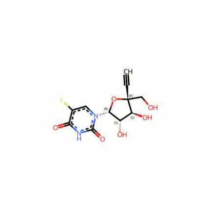 C#C[C@]1(CO)O[C@@H](n2cc(F)c(=O)[nH]c2=O)[C@@H](O)[C@@H]1O